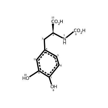 O=C(O)N[C@@H](Cc1ccc(O)c(O)c1)C(=O)O